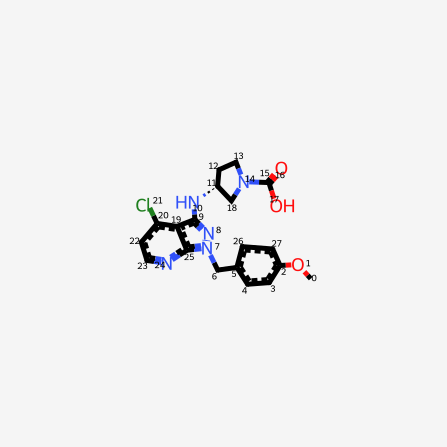 COc1ccc(Cn2nc(N[C@@H]3CCN(C(=O)O)C3)c3c(Cl)ccnc32)cc1